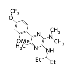 CCC(CC)Nc1nc(C)c(-c2ccc(OC(F)(F)F)cc2OC)nc1N(C)C